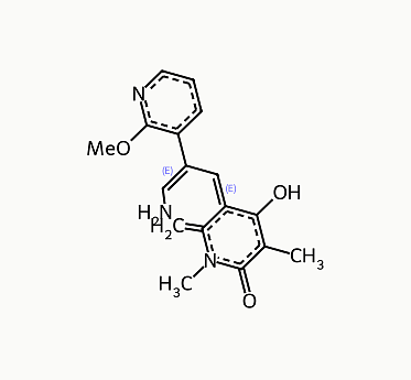 C=c1/c(=C\C(=C/N)c2cccnc2OC)c(O)c(C)c(=O)n1C